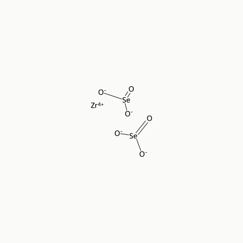 O=[Se]([O-])[O-].O=[Se]([O-])[O-].[Zr+4]